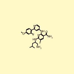 COc1ccc(-c2cc(Nc3nc(NC(CN)CC(C)C)c(F)cc3C(N)=O)ccn2)c(F)c1